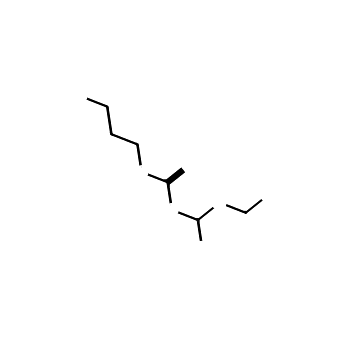 CCCCOC(=O)OC(C)OCC